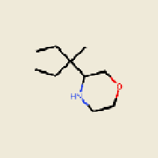 CCC(C)(CC)C1COCCN1